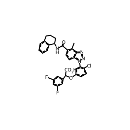 Cc1c(C(=O)NC2CCCc3ccccc32)ccc2c1nnn2-c1cc(OC(C(=O)O)c2cc(F)cc(F)c2)ccc1Cl